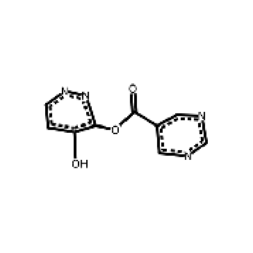 O=C(Oc1nnccc1O)c1cncnc1